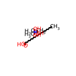 CC(O)N(C(C)O)C(C)O.CCCCCCCCCCCCCCCCCCCCCC(=O)O